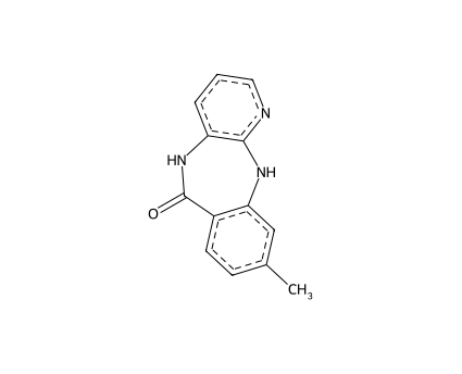 Cc1ccc2c(c1)Nc1ncccc1NC2=O